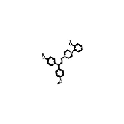 COc1ccc(C(CCN2CCN(c3ccccc3OC)CC2)c2ccc(OC)cc2)cc1